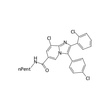 CCCCCNC(=O)c1cc(Cl)c2nc(-c3ccccc3Cl)c(-c3ccc(Cl)cc3)n2c1